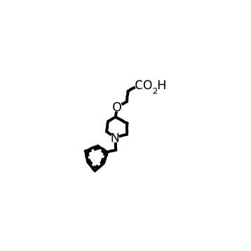 O=C(O)CCOC1CCN(Cc2ccccc2)CC1